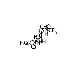 CC1(CNC(=O)C(F)(F)F)CCN(c2cnc3c(N4CCC(CO)c5ccccc54)n[nH]c3n2)CC1